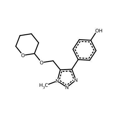 Cn1nnc(-c2ccc(O)cc2)c1COC1CCCCO1